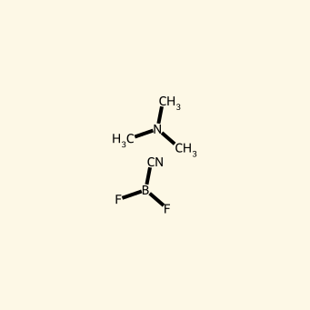 CN(C)C.N#CB(F)F